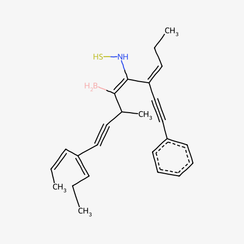 B/C(=C(NS)/C(C#Cc1ccccc1)=C\CC)C(C)C#CC(/C=C\C)=C/CC